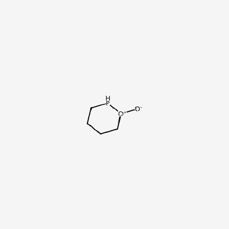 [O-][O+]1CCCCP1